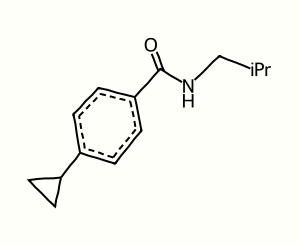 CC(C)CNC(=O)c1ccc(C2CC2)cc1